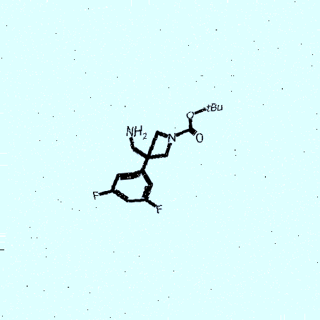 CC(C)(C)OC(=O)N1CC(CN)(c2cc(F)cc(F)c2)C1